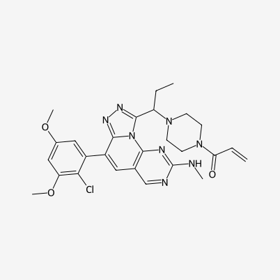 C=CC(=O)N1CCN(C(CC)c2nnc3c(-c4cc(OC)cc(OC)c4Cl)cc4cnc(NC)nc4n23)CC1